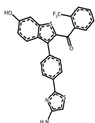 Nc1csc(-c2ccc(-c3c(C(=O)c4ccccc4C(F)(F)F)sc4cc(O)ccc34)cc2)n1